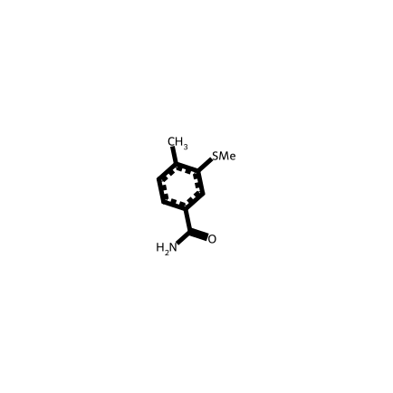 CSc1cc(C(N)=O)ccc1C